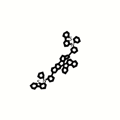 c1ccc(N(c2cccc(-c3ccc4cc5c(cc4c3)C3(c4ccccc4-c4c3ccc3ccccc43)c3c-5ccc4cc(-c5cccc(N(c6ccccc6)c6cccc7c6sc6ccccc67)c5)ccc34)c2)c2cccc3c2sc2ccccc23)cc1